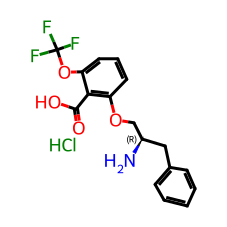 Cl.N[C@@H](COc1cccc(OC(F)(F)F)c1C(=O)O)Cc1ccccc1